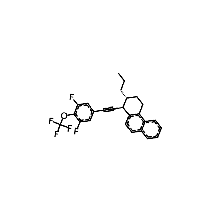 CCC[C@@H]1CCc2c(ccc3ccccc23)[C@H]1C#Cc1cc(F)c(OC(F)(F)F)c(F)c1